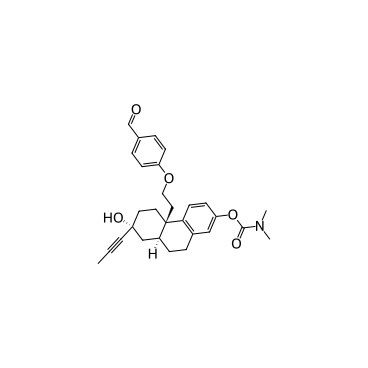 CC#C[C@@]1(O)CC[C@]2(CCOc3ccc(C=O)cc3)c3ccc(OC(=O)N(C)C)cc3CC[C@H]2C1